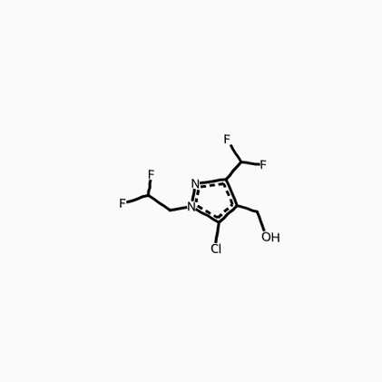 OCc1c(C(F)F)nn(CC(F)F)c1Cl